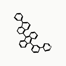 C1=c2c(-c3ccccc3)cccc2=C(c2c3ccccc3c(-c3cccc(-c4ccncc4)c3)c3ccccc23)CC1